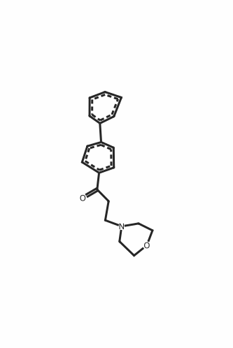 O=C(CCN1CCOCC1)c1ccc(-c2ccccc2)cc1